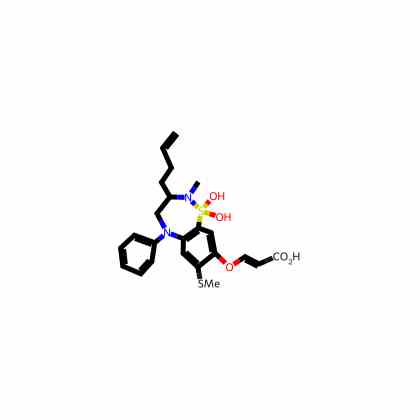 C=CCCC1CN(c2ccccc2)c2cc(SC)c(OC=CC(=O)O)cc2S(O)(O)N1C